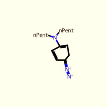 CCCCCN(CCCCC)C1=CCC(=[N+]=[N-])C=C1